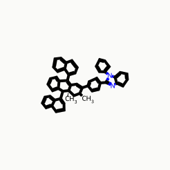 CC1C[C@]2(C)C(=C(c3cccc4ccccc34)c3ccccc3C2c2cccc3ccccc23)C=C1c1ccc(-c2nc3ccccc3n2-c2ccccc2)cc1